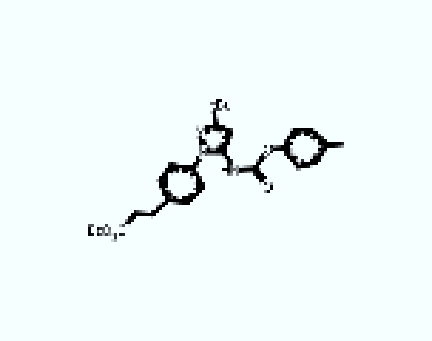 CCOC(=O)CCc1ccc(-n2nc(C(C)(C)C)cc2NC(=O)Oc2ccc(C)cc2)cc1